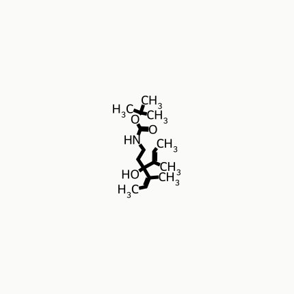 CC=C(C)C(O)(CCNC(=O)OC(C)(C)C)C(C)=CC